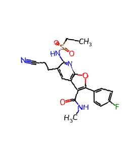 CCS(=O)(=O)Nc1nc2oc(-c3ccc(F)cc3)c(C(=O)NC)c2cc1CCC#N